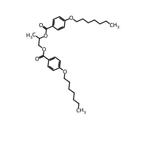 CCCCCCCOc1ccc(C(=O)OCC(C)OC(=O)c2ccc(OCCCCCCC)cc2)cc1